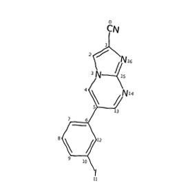 N#Cc1cn2cc(-c3cccc(I)c3)cnc2n1